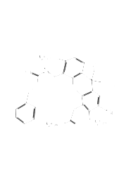 COC(=O)Cc1c(OC)c(Br)cc2c1Oc1c(ccc(OC)c1CNC(=O)OCc1ccccc1)C2(C)C